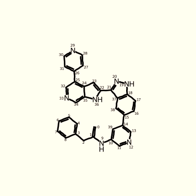 C=C(Cc1ccccc1)Nc1cncc(-c2ccc3[nH]nc(-c4cc5c(-c6ccncc6)cncc5[nH]4)c3c2)c1